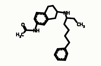 CCC(CCCCc1ccccc1)NC1CCc2ccc(NC(C)=O)cc2C1